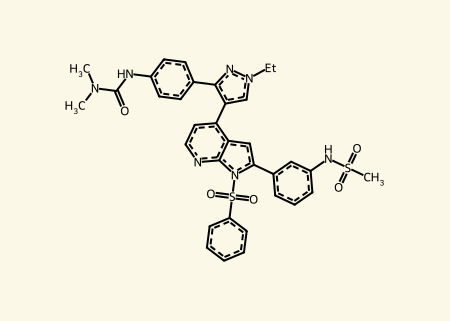 CCn1cc(-c2ccnc3c2cc(-c2cccc(NS(C)(=O)=O)c2)n3S(=O)(=O)c2ccccc2)c(-c2ccc(NC(=O)N(C)C)cc2)n1